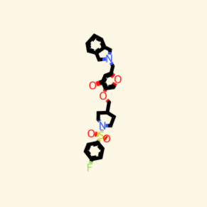 O=c1cc(CN2Cc3ccccc3C2)occ1OCC1CCN(S(=O)(=O)c2ccc(F)cc2)CC1